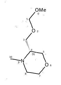 COCOC[C@@H]1COCCN1C